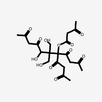 CC(=O)CC(=O)OC(C(=O)CC(C)=O)(C(=O)CC(C)=O)C(CO)(CO)C(O)C(=O)CC(C)=O